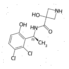 C[C@H](NC(=O)C1(O)CNC1)c1c(O)ccc(Cl)c1Cl